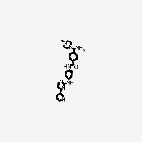 CN1CCN(C(N)c2ccc(C(=O)Nc3ccc(Nc4nccc(-c5cccnc5)n4)cc3)cc2)CC1